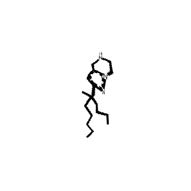 CCCCCC(C)(CCCC)c1cc2n(n1)CCNC2